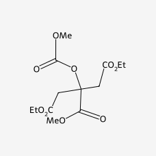 CCOC(=O)CC(CC(=O)OCC)(OC(=O)OC)C(=O)OC